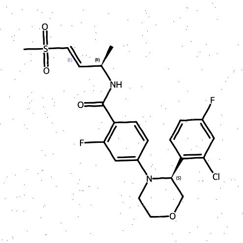 C[C@H](/C=C/S(C)(=O)=O)NC(=O)c1ccc(N2CCOC[C@@H]2c2ccc(F)cc2Cl)cc1F